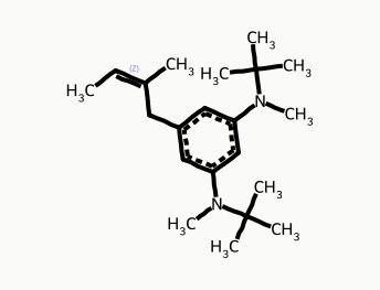 C/C=C(/C)Cc1cc(N(C)C(C)(C)C)cc(N(C)C(C)(C)C)c1